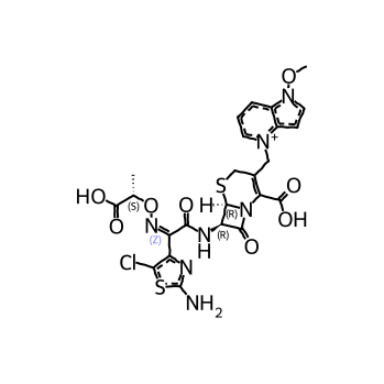 COn1ccc2c1ccc[n+]2CC1=C(C(=O)O)N2C(=O)[C@@H](NC(=O)/C(=N\O[C@@H](C)C(=O)O)c3nc(N)sc3Cl)[C@H]2SC1